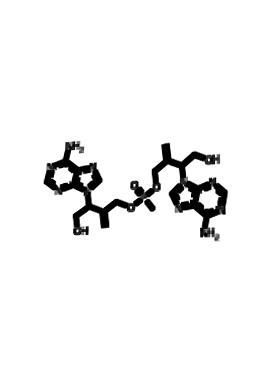 C=C(COP(C)(=O)OCC(=C)C(CO)n1cnc2c(N)ncnc21)C(CO)n1cnc2c(N)ncnc21